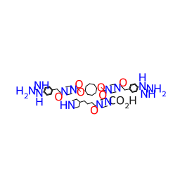 N=C(N)Nc1ccc(CC(=O)N2CCN(C(=O)O[C@H]3CCC[C@@H](OC(=O)N4CCN(C(=O)Cc5ccc(NC(=N)N)cc5)CC4)CCC3)CC2)cc1.O=C(O)N1CCN(C(=O)CCCC2CCNCC2)CC1